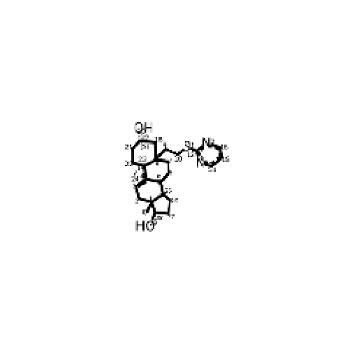 CC12CC=C3C(CCC4(CCSc5ncccn5)C[C@@H](O)CC[C@]34C)C1CCC2O